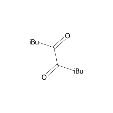 CCC(C)C(=O)C(=O)C(C)CC